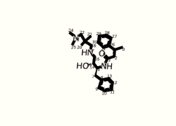 CC(CC(=O)N[C@@H](Cc1ccccc1)[C@H](O)CNCC(C)(C)CN(C)C)c1ccccc1